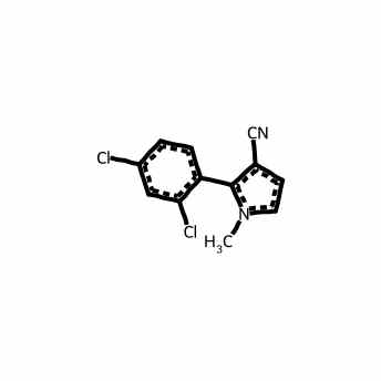 Cn1ccc(C#N)c1-c1ccc(Cl)cc1Cl